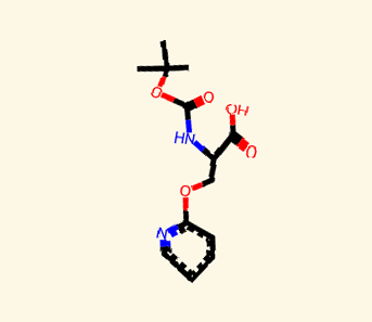 CC(C)(C)OC(=O)NC(COc1ccccn1)C(=O)O